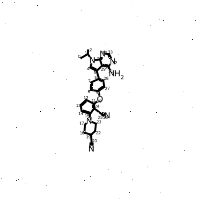 CC(C)n1cc(-c2ccc(Oc3cccc(N4CCC(C#N)CC4)c3C#N)cc2)c2c(N)ncnc21